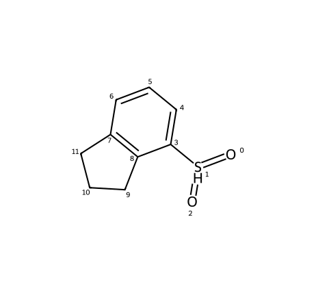 O=[SH](=O)c1cccc2c1CCC2